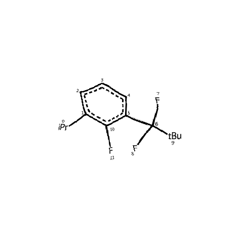 CC(C)c1cccc(C(F)(F)C(C)(C)C)c1F